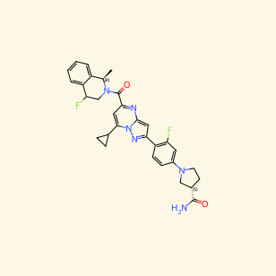 C[C@@H]1c2ccccc2C(F)CN1C(=O)c1cc(C2CC2)n2nc(-c3ccc(N4CC[C@H](C(N)=O)C4)cc3F)cc2n1